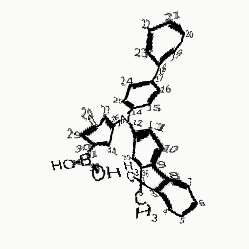 CC1(C)c2ccccc2-c2ccc(N(c3ccc(-c4ccccc4)cc3)c3cccc(B(O)O)c3)cc21